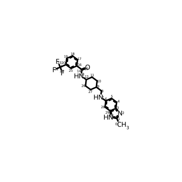 Cc1nc2ccc(NCC3CCC(NC(=O)c4cccc(C(F)(F)F)c4)CC3)cc2[nH]1